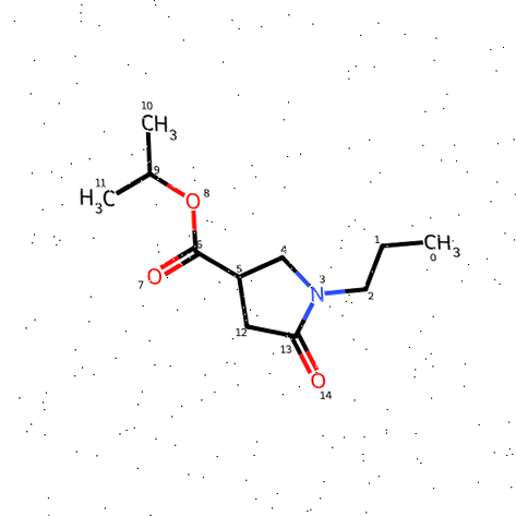 CCCN1CC(C(=O)OC(C)C)CC1=O